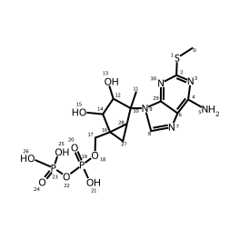 CSc1nc(N)c2ncn(C3(C)C(O)C(O)C4(COP(=O)(O)OP(=O)(O)O)CC43)c2n1